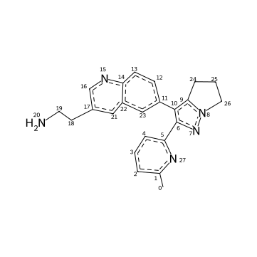 Cc1cccc(-c2nn3c(c2-c2ccc4ncc(CCN)cc4c2)CCC3)n1